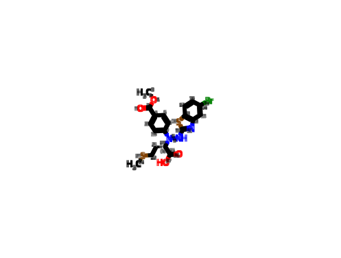 COC(=O)c1ccc(N(Nc2nc3cc(Br)ccc3s2)[C@@H](CCSC)C(=O)O)cc1